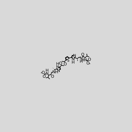 COC(=O)N[C@@H](C(=O)CN[C@H](C)c1ncc(C2COC(c3ccc(-c4cnc([C@H](C)CNC(=O)[C@H](NC(=O)OC)C(C)C)[nH]4)s3)CO2)[nH]1)C(C)C